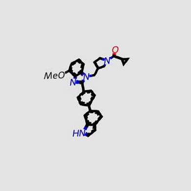 COc1cccc2c1nc(-c1ccc(-c3ccc4cc[nH]c4c3)cc1)n2CC1CCN(C(=O)C2CC2)C1